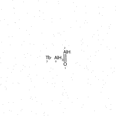 [AlH3].[O]=[AlH].[Tb]